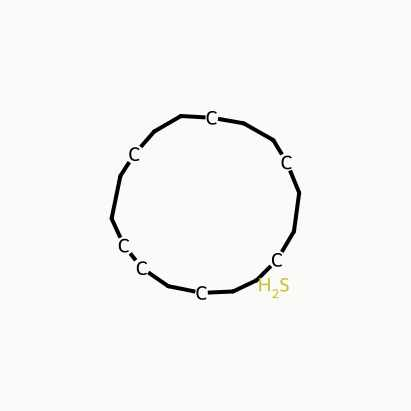 C1CCCCCCCCCCCCCCCCC1.S